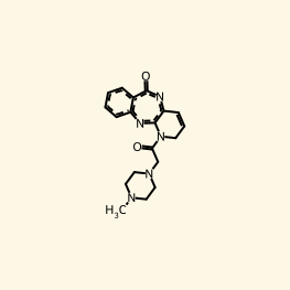 CN1CCN(CC(=O)N2CC=Cc3nc(=O)c4ccccc4nc32)CC1